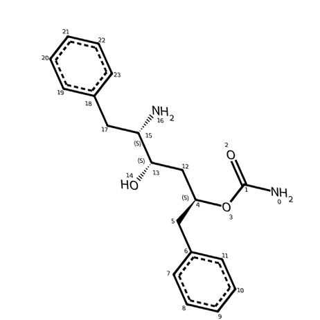 NC(=O)O[C@@H](Cc1ccccc1)C[C@H](O)[C@@H](N)Cc1ccccc1